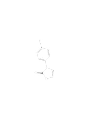 O=C1OC=CC1c1ccc(F)cc1